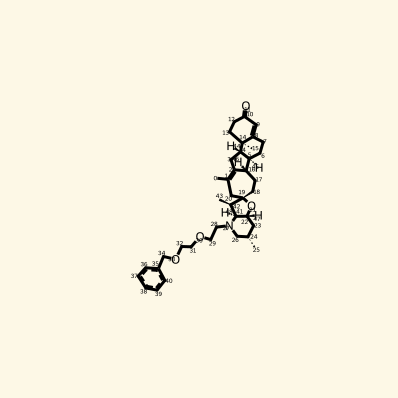 CC1=C2C[C@H]3[C@@H](CCC4=CC(=O)CC[C@@]43C)[C@@H]2CC[C@@]2(C1)O[C@@H]1C[C@H](C)CN(CCOCCOCc3ccccc3)[C@H]1[C@H]2C